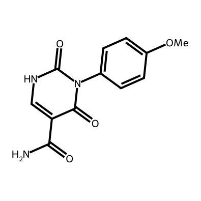 COc1ccc(-n2c(=O)[nH]cc(C(N)=O)c2=O)cc1